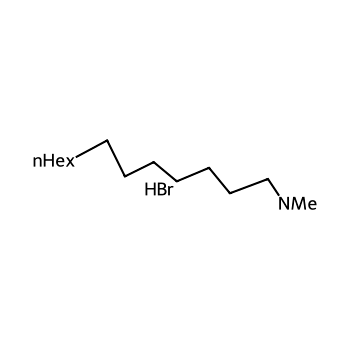 Br.CCCCCCCCCCCCCNC